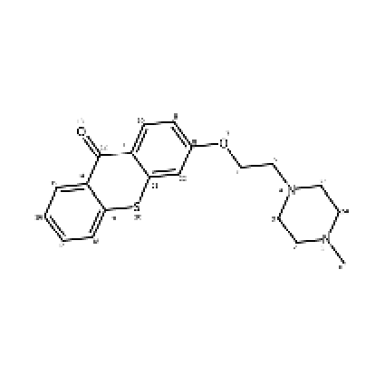 CN1CCN(CCOc2ccc3c(=O)c4ccccc4sc3c2)CC1